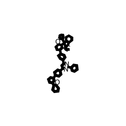 C1=CC2=C(CC1)C1(c3ccccc3OC3C=CC(c4ccc(-c5cc(-c6ccc(-c7cccc8c7oc7ccccc78)cc6)nc(-c6ccccc6)n5)cc4)=CC31)c1ccccc12